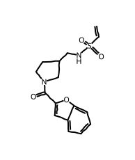 C=CS(=O)(=O)NCC1CCN(C(=O)c2cc3ccccc3o2)C1